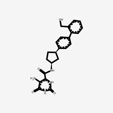 Nc1c(C(=O)N[C@H]2CC[C@@H](c3ccc(-c4ccccc4CO)cc3)C2)[nH]c(=O)[nH]c1=O